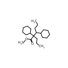 CCCC(C1CCCCC1)C(CCC)(C(=O)O[SiH3])C1CCCCC1